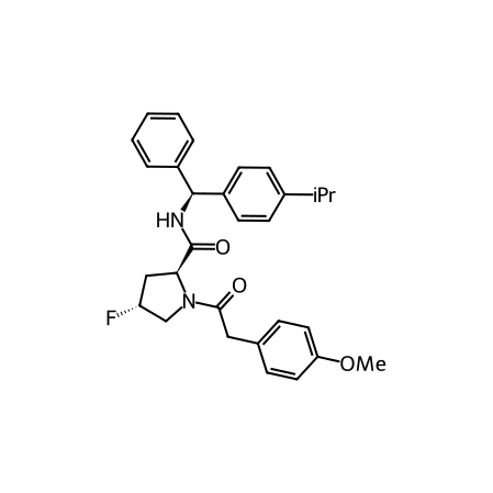 COc1ccc(CC(=O)N2C[C@H](F)C[C@H]2C(=O)N[C@@H](c2ccccc2)c2ccc(C(C)C)cc2)cc1